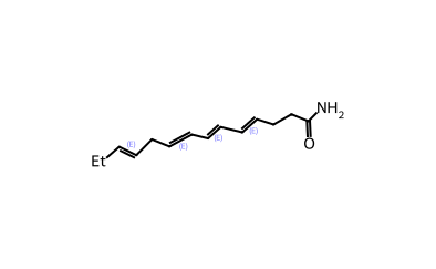 CC/C=C/C/C=C/C=C/C=C/CCC(N)=O